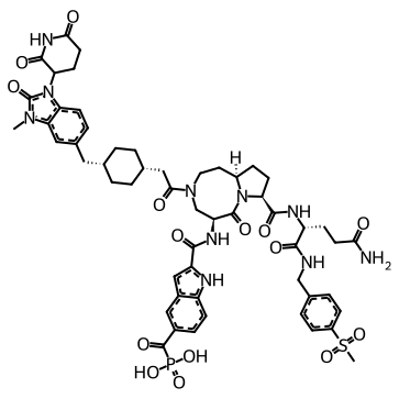 Cn1c(=O)n(C2CCC(=O)NC2=O)c2ccc(C[C@H]3CC[C@@H](CC(=O)N4CC[C@H]5CC[C@@H](C(=O)N[C@H](CCC(N)=O)C(=O)NCc6ccc(S(C)(=O)=O)cc6)N5C(=O)[C@@H](NC(=O)c5cc6cc(C(=O)P(=O)(O)O)ccc6[nH]5)C4)CC3)cc21